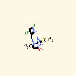 CSc1nc2n(Cc3cnc(Cl)cc3Cl)c(C)cc(=O)n2n1